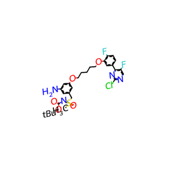 CC(C)(C)OC(=O)N=S(C)(=O)Cc1cc(N)cc(OCCCCCOc2cc(-c3nc(Cl)ncc3F)ccc2F)c1